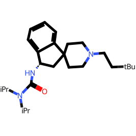 CC(C)N(C(=O)N[C@H]1CC2(CCN(CCC(C)(C)C)CC2)c2ccccc21)C(C)C